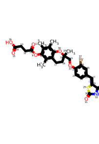 Cc1c(C)c2c(c(C)c1OC(=O)CCC(=O)O)CCC(C)(COc1ccc(/C=C3\SC(=O)NC3=O)cc1Br)O2